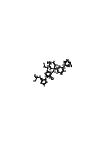 CCCc1cn(-c2cccn2CC(C)C)c(=O)n1CC1(c2cccc(-c3nnn[nH]3)c2)C=CNC=C1